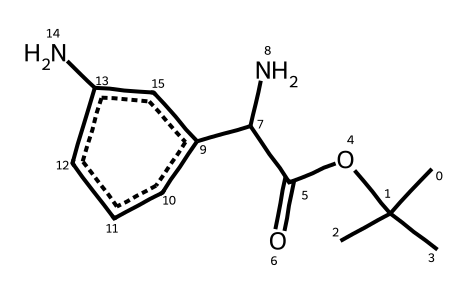 CC(C)(C)OC(=O)C(N)c1cccc(N)c1